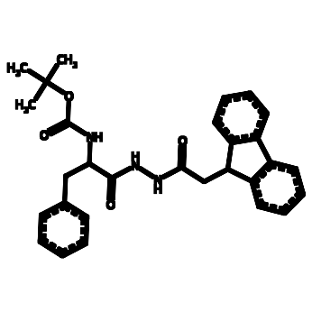 CC(C)(C)OC(=O)NC(Cc1ccccc1)C(=O)NNC(=O)CC1c2ccccc2-c2ccccc21